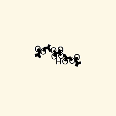 C=C(C)C(=O)OCC(C)COC(=O)C(=O)OCC(O)COC(=O)C(=C)C